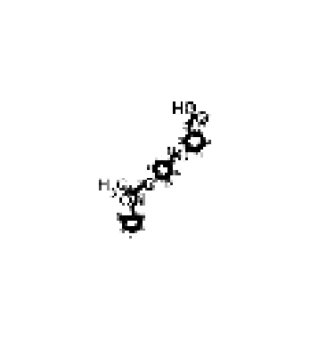 Cc1oc(-c2ccccc2)nc1COc1ccc(COc2cccc(CC(=O)O)c2)cc1